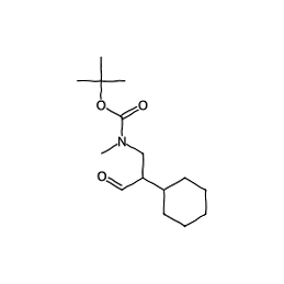 CN(CC(C=O)C1CCCCC1)C(=O)OC(C)(C)C